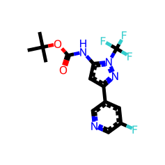 CC(C)(C)OC(=O)Nc1cc(-c2cncc(F)c2)nn1C(F)(F)F